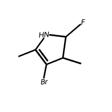 CC1=C(Br)C(C)C(F)N1